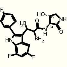 BC(C(=O)N[C@@H]1C(=O)NC[C@H]1O)C(B)c1c(-c2ccc(F)cc2)[nH]c2c(F)cc(F)cc12